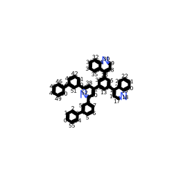 c1ccc(-c2cccc(-c3cc(-c4cc(-c5ccnc6ccccc56)cc(-c5ccnc6ccccc56)c4)cc(-c4cccc(-c5ccccc5)c4)n3)c2)cc1